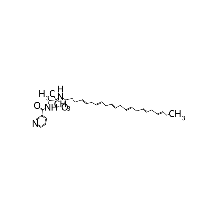 CCC=CCC=CCC=CCC=CCC=CCC=CCCC(=O)NC(C)(C)CNC(=O)c1cccnc1